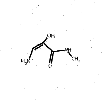 CNC(=O)/C(O)=C\N